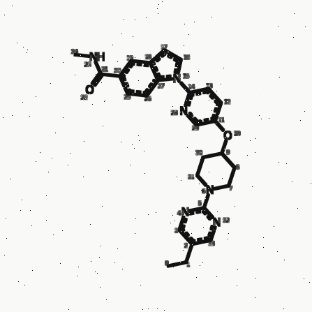 CCc1cnc(N2CCC(Oc3ccc(-n4ccc5cc(C(=O)NC)ccc54)nc3)CC2)nc1